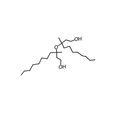 CCCCCCCCC(C)(CCO)OC(C)(CCO)CCCCCCCC